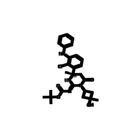 CC1(O)CC(N2C(=O)C[C@@](C)(c3cccc(Nc4ccccc4)c3Cl)NC2=NC(=O)OC(C)(C)C)C1